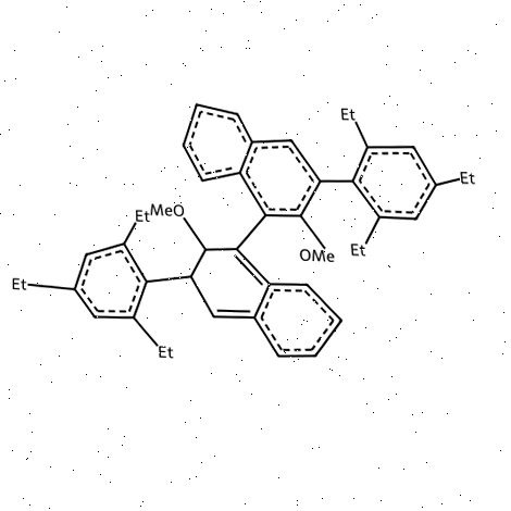 CCc1cc(CC)c(-c2cc3ccccc3c(C3=c4ccccc4=CC(c4c(CC)cc(CC)cc4CC)C3OC)c2OC)c(CC)c1